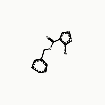 O=C(OCc1ccccc1)c1ccsc1Br